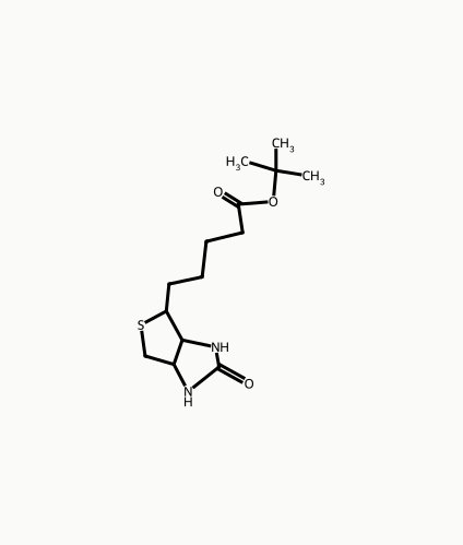 CC(C)(C)OC(=O)CCCCC1SCC2NC(=O)NC21